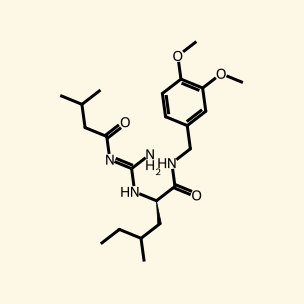 CCC(C)C[C@@H](NC(N)=NC(=O)CC(C)C)C(=O)NCc1ccc(OC)c(OC)c1